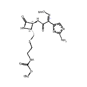 CO/N=C(\C(=O)N[C@@H]1C(=O)N[C@H]1CSCCNC(=O)OC(C)(C)C)c1cnc(N)s1